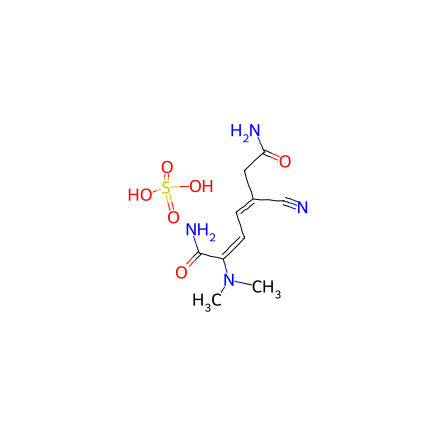 CN(C)C(=CC=C(C#N)CC(N)=O)C(N)=O.O=S(=O)(O)O